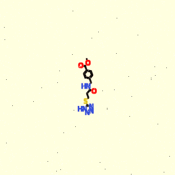 COC(=O)c1ccc(CNC(=O)CCSc2nnn[nH]2)cc1